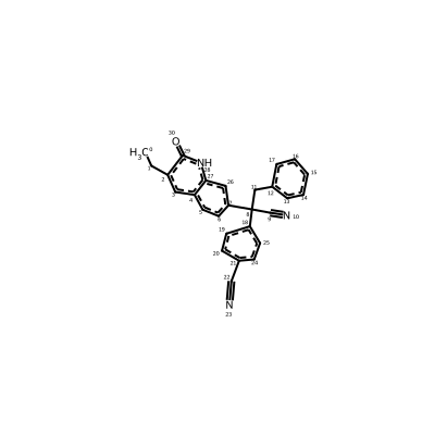 CCc1cc2ccc(C(C#N)(Cc3ccccc3)c3ccc(C#N)cc3)cc2[nH]c1=O